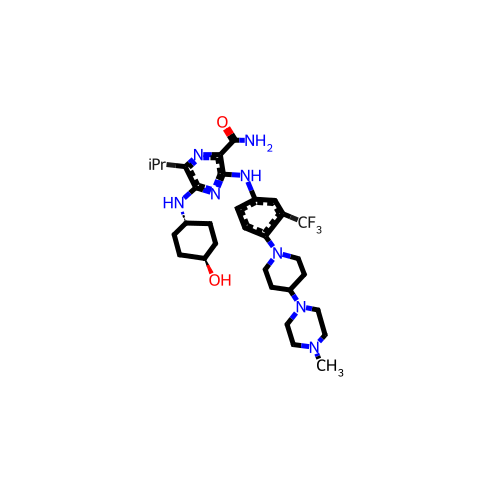 CC(C)c1nc(C(N)=O)c(Nc2ccc(N3CCC(N4CCN(C)CC4)CC3)c(C(F)(F)F)c2)nc1N[C@H]1CC[C@H](O)CC1